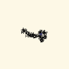 CC(C)(C)OC(=O)NC1CCC(NC(=N)N2Cc3ccc(OC[C@H](O/N=C(\C(=O)O)c4csc(NI)n4)C(=O)OC(c4ccccc4)c4ccccc4)cc3C2)CC1